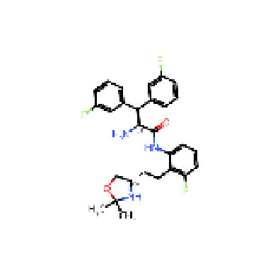 CC1(C)N[C@@H](CCc2c(F)cccc2NC(=O)[C@@H](N)C(c2cccc(F)c2)c2cccc(F)c2)CO1